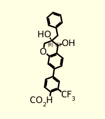 O=C(O)c1ccc(-c2ccc3c(c2)OC[C@](O)(Cc2ccccc2)[C@H]3O)cc1C(F)(F)F